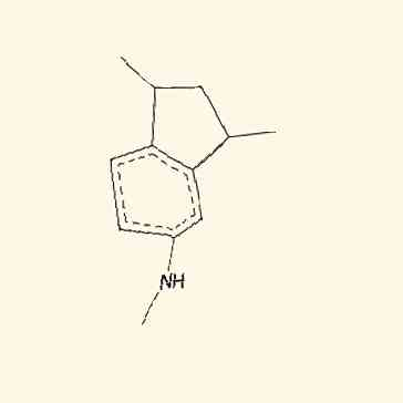 CNc1ccc2c(c1)C(C)CC2C